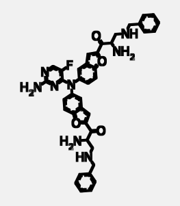 Nc1ncc(F)c(N(c2ccc3oc(C(=O)C(N)CNCc4ccccc4)cc3c2)c2ccc3oc(C(=O)C(N)CNCc4ccccc4)cc3c2)n1